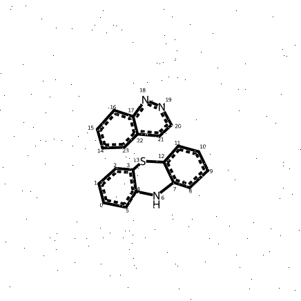 c1ccc2c(c1)Nc1ccccc1S2.c1ccc2nnccc2c1